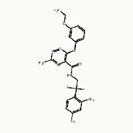 CCOc1cccc(Sc2nnc(C)nc2C(=O)NCC(F)(F)c2ccc(C)cc2C)c1